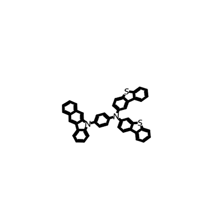 c1ccc2cc3c(cc2c1)c1ccccc1n3-c1ccc(N(c2ccc3c(c2)sc2ccccc23)c2ccc3sc4ccccc4c3c2)cc1